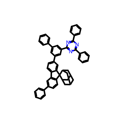 c1ccc(-c2cc(-c3ccc4c(c3)C3(c5ccc(-c6ccccc6)cc5-4)C4CC5CC(C4)CC3C5)cc(-c3nc(-c4ccccc4)nc(-c4ccccc4)n3)c2)cc1